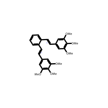 COc1cc(/C=C/c2ccccc2/C=C/c2cc(OC)c(OC)c(OC)c2)cc(OC)c1OC